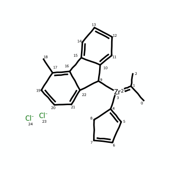 C[C](C)=[Zr+2]([C]1=CC=CC1)[CH]1c2ccccc2-c2c(C)cccc21.[Cl-].[Cl-]